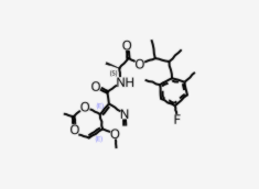 C=N/C(C(=O)N[C@@H](C)C(=O)OC(C)C(C)c1c(C)cc(F)cc1C)=C(OC(C)=O)\C(=C/C)OC